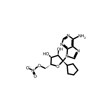 Nc1ncnc2c1ncn2[C@]1(C2CCCC2)O[C@H](CO[N+](=O)[O-])[C@@H](O)[C@H]1O